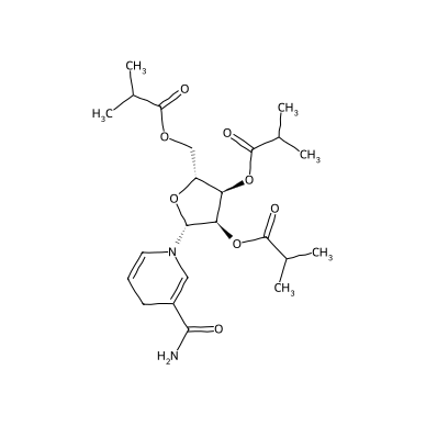 CC(C)C(=O)OC[C@H]1O[C@@H](N2C=CCC(C(N)=O)=C2)[C@H](OC(=O)C(C)C)[C@@H]1OC(=O)C(C)C